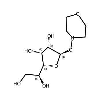 OC[C@H](O)[C@H]1O[C@H](ON2CCOCC2)[C@@H](O)[C@H]1O